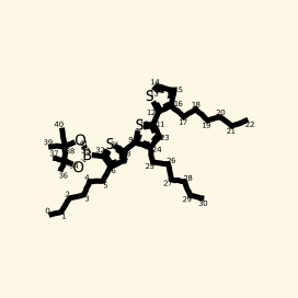 CCCCCCc1cc(-c2sc(-c3sccc3CCCCCC)cc2CCCCCC)sc1B1OC(C)(C)C(C)(C)O1